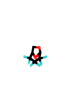 FC1(F)C2COC(O2)C(F)(F)C1(F)F